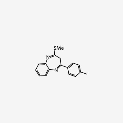 CSC1=Nc2ccccc2N=C(c2ccc(C)cc2)C1